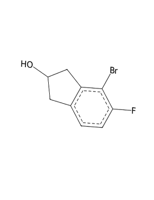 OC1Cc2ccc(F)c(Br)c2C1